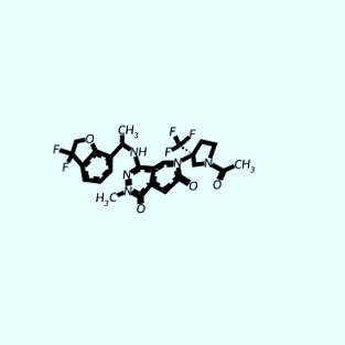 CC(=O)N1CC[C@@](n2cc3c(NC(C)c4cccc5c4OCC5(F)F)nn(C)c(=O)c3cc2=O)(C(F)(F)F)C1